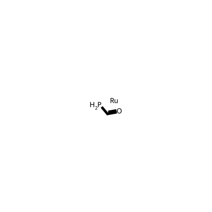 O=CP.[Ru]